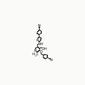 Cc1ncc(CNc2ccc(-c3ccc(C#N)cc3)cn2)c(CO)c1OCc1ccc(C#N)cc1